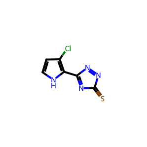 S=C1N=NC(c2[nH]ccc2Cl)=N1